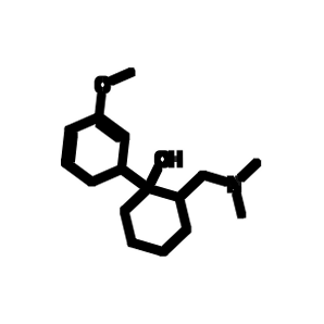 COC1=CC(C2(O)CCCCC2CN(C)C)CC=C1